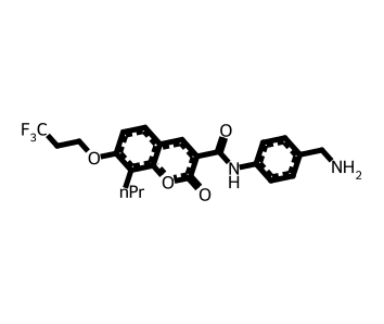 CCCc1c(OCCC(F)(F)F)ccc2cc(C(=O)Nc3ccc(CN)cc3)c(=O)oc12